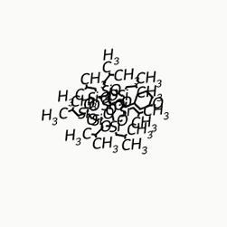 CC(C)C[Si]12O[Si]3(CCC4CCC5OC5C4)O[Si]4(CC(C)C)O[Si](CC(C)C)(O1)O[Si]1(CC(C)C)O[Si](CC(C)C)(O2)O[Si](CC(C)C)(O3)O[Si](CC(C)C)(O4)O1